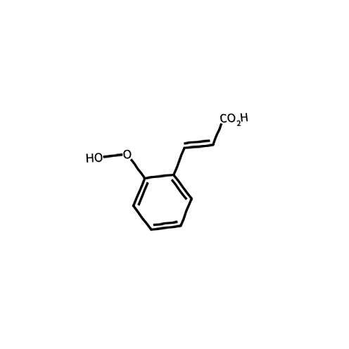 O=C(O)/C=C/c1ccccc1OO